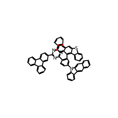 c1ccc(-c2nc(-c3ccc4c5ccccc5c5ccccc5c4c3)nc(-c3ccc(-n4c5ccccc5c5cc6ccccc6cc54)cc3-c3c4ccccc4cc4sc5ccccc5c34)n2)cc1